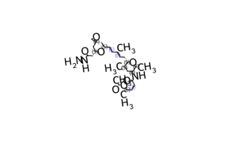 CC(=O)O[C@@H](C)/C=C\C(=O)N[C@@H]1C[C@H](C)[C@H](C/C=C(C)/C=C/[C@@H]2C[C@@]3(CO3)C[C@@H](CC(=O)NN)O2)O[C@@H]1C